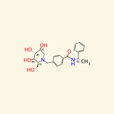 C[C@H](NC(=O)c1ccc(CN2C[C@H](O)[C@@H](O)[C@H](O)[C@@H]2CO)cc1)c1ccccc1